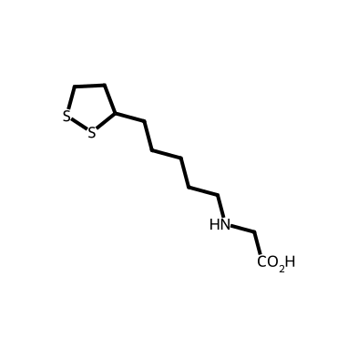 O=C(O)CNCCCCCC1CCSS1